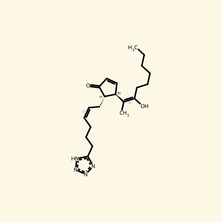 CCCCCC/C(O)=C(/C)[C@@H]1C=CC(=O)[C@H]1C/C=C\CCCc1nnn[nH]1